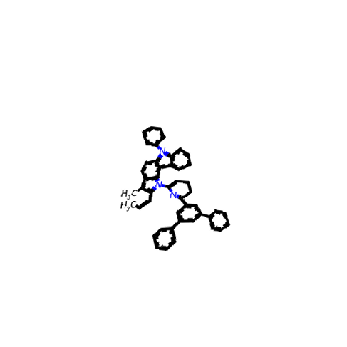 C/C=C\c1c(C)c2ccc3c(c4ccccc4n3-c3ccccc3)c2n1C1=CCCC(c2cc(-c3ccccc3)cc(-c3ccccc3)c2)=N1